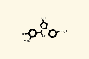 COc1cc(C(O)N2CC(O)C[C@@H]2c2cccc(C(=O)O)c2)ccc1Br